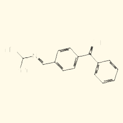 C=C(c1ccccc1)c1ccc(C=NC(CCC)CCC)cc1